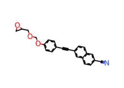 N#Cc1ccc2cc(C#Cc3ccc(OCOCC4CO4)cc3)ccc2c1